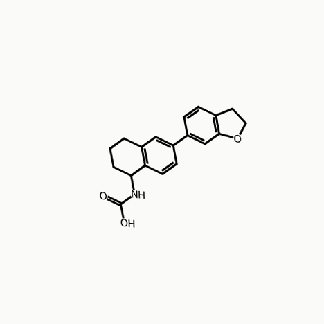 O=C(O)NC1CCCc2cc(-c3ccc4c(c3)OCC4)ccc21